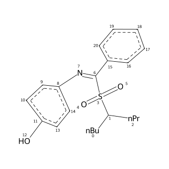 CCCCC(CCC)S(=O)(=O)C(=Nc1ccc(O)cc1)c1ccccc1